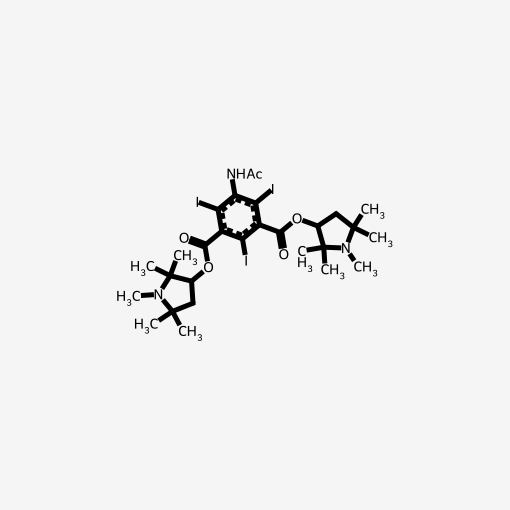 CC(=O)Nc1c(I)c(C(=O)OC2CC(C)(C)N(C)C2(C)C)c(I)c(C(=O)OC2CC(C)(C)N(C)C2(C)C)c1I